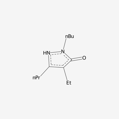 CCCCn1[nH]c(CCC)c(CC)c1=O